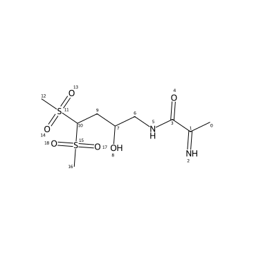 CC(=N)C(=O)NCC(O)CC(S(C)(=O)=O)S(C)(=O)=O